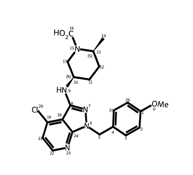 COc1ccc(Cn2nc(N[C@@H]3CC[C@H](C)N(C(=O)O)C3)c3c(Cl)ccnc32)cc1